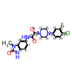 Cn1c(=O)[nH]c2ccc(NC(=O)C(=O)N3CCN(c4ccc(Cl)c(F)c4)CC3)cc21